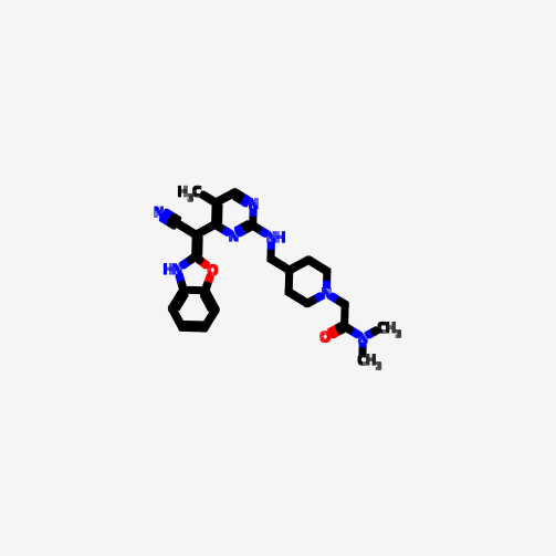 Cc1cnc(NCC2CCN(CC(=O)N(C)C)CC2)nc1C(C#N)=C1Nc2ccccc2O1